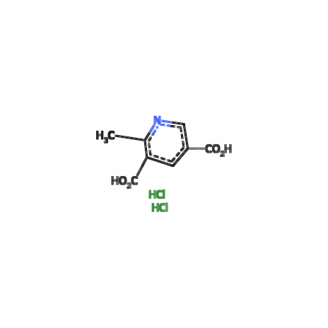 Cc1ncc(C(=O)O)cc1C(=O)O.Cl.Cl